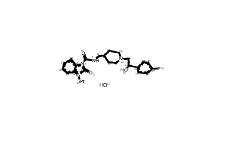 CC(C)n1c(=O)n(C(=O)NCC2CCN(CC(O)c3ccc(F)cc3)CC2)c2ccccc21.Cl